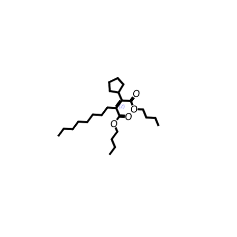 CCCCCCCC/C(C(=O)OCCCC)=C(/C(=O)OCCCC)C1CCCC1